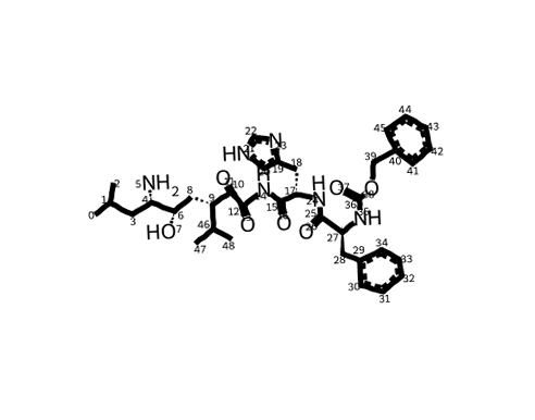 CC(C)C[C@H](N)[C@@H](O)C[C@H](C(=O)C(=O)NC(=O)[C@H](Cc1c[nH]cn1)NC(=O)[C@H](Cc1ccccc1)NC(=O)OCc1ccccc1)C(C)C